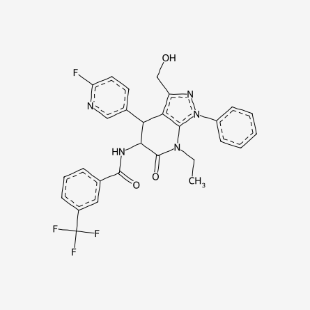 CCN1C(=O)C(NC(=O)c2cccc(C(F)(F)F)c2)C(c2ccc(F)nc2)c2c(CO)nn(-c3ccccc3)c21